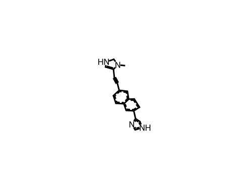 CN1CNC=C1C#Cc1ccc2cc(-c3c[nH]cn3)ccc2c1